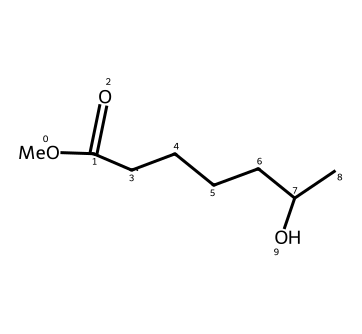 COC(=O)[CH]CCCC(C)O